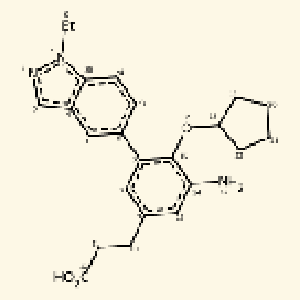 CCn1ncc2cc(-c3cc(CCC(=O)O)cc(N)c3OC3CCCC3)ccc21